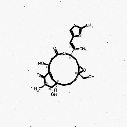 C/C(=C\c1csc(C)n1)[C@@H]1CC2O[C@]2(CO)CCC[C@@H]2C=C(C(=O)[C@H](C)[C@H]2O)[C@@H](O)CC(=O)O1